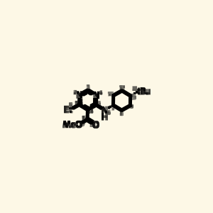 CCc1ncnc(N[C@H]2CC[C@@H](C(C)(C)C)CC2)c1C(=O)OC